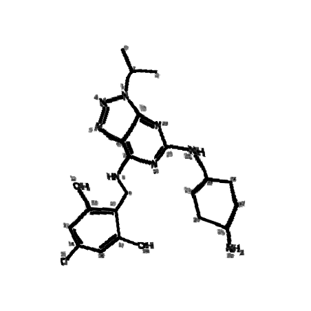 CC(C)n1nnc2c(NCc3c(O)cc(Cl)cc3O)nc(NC3CCC(N)CC3)nc21